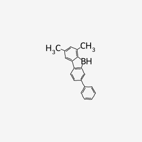 Cc1cc(C)c2c(c1)-c1ccc(-c3ccccc3)cc1B2